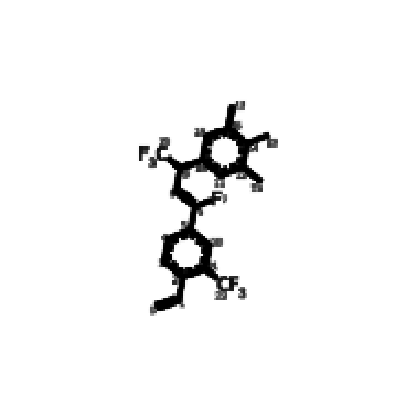 C=Cc1ccc(/C(F)=C/C(c2cc(C)c(C)c(C)c2)C(F)(F)F)cc1C(F)(F)F